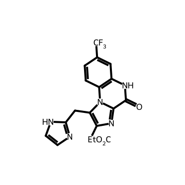 CCOC(=O)c1nc2c(=O)[nH]c3cc(C(F)(F)F)ccc3n2c1Cc1ncc[nH]1